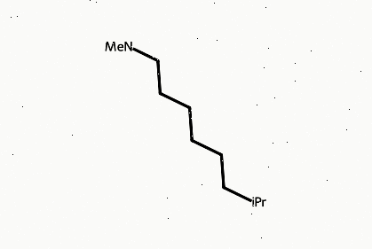 CNCCCCCCC(C)C